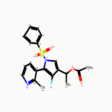 CNC(=O)OC(c1cn(S(=O)(=O)c2ccccc2)c(-c2cccnc2C#N)c1F)C(C)(C)C